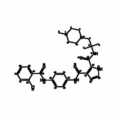 CN1CCN(CC(C)(C)NC(=O)c2[nH]cnc2C(=O)Nc2ccc(NC(=O)c3ccccc3Cl)cc2)CC1